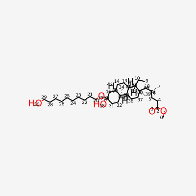 COC(=O)CC[C@@H](C)[C@H]1CC[C@H]2[C@@H]3CC[C@@H]4C[C@@](O)(OCCCCCCCCCCO)CC[C@]4(C)[C@H]3CC[C@]12C